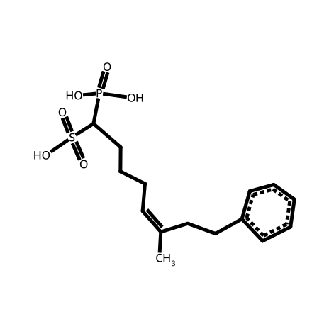 C/C(=C/CCCC(P(=O)(O)O)S(=O)(=O)O)CCc1ccccc1